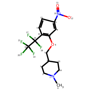 CN1CCC(COc2cc([N+](=O)[O-])ccc2C(F)(F)C(F)(F)F)CC1